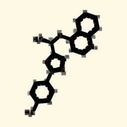 Cc1ccc(-n2cc([C@@H](C)Oc3ccnc4ccccc34)nn2)cc1